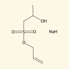 C=CCOS(=O)(=O)CC(C)O.[NaH]